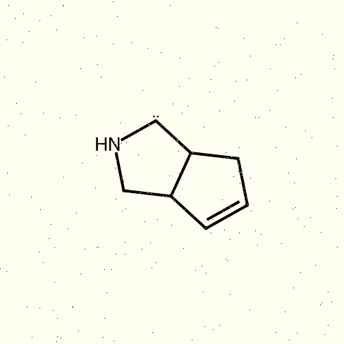 [C]1NCC2C=CCC12